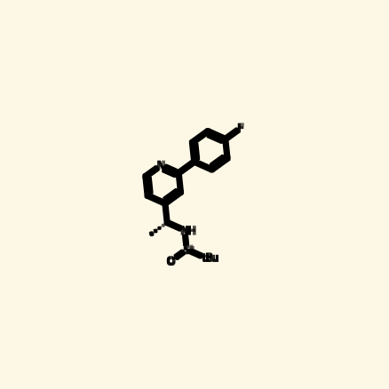 C[C@@H](N[S+]([O-])C(C)(C)C)c1ccnc(-c2ccc(F)cc2)c1